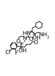 COCCCC[C@](O)(c1cccc(Cl)c1F)[C@H]1CN(C(=O)N[C@@H](CC2CCCCC2)[C@H](O)CN)CCO1